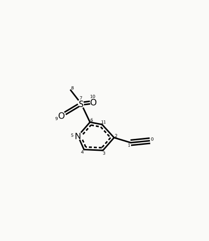 C#Cc1ccnc(S(C)(=O)=O)c1